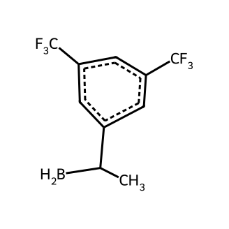 BC(C)c1cc(C(F)(F)F)cc(C(F)(F)F)c1